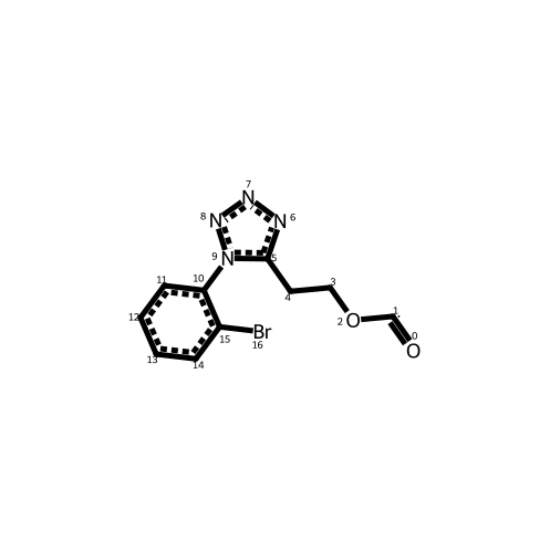 O=[C]OCCc1nnnn1-c1ccccc1Br